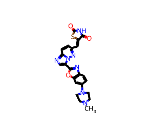 CN1CCN(c2ccc3nc(-c4cnc5ccc(/C=C6\SC(=O)NC6=O)nn45)oc3c2)CC1